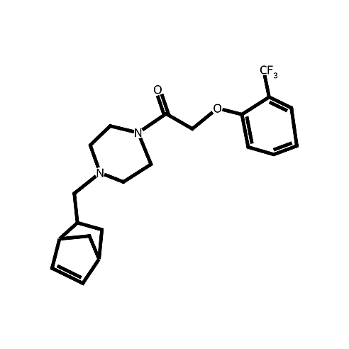 O=C(COc1ccccc1C(F)(F)F)N1CCN(CC2CC3C=CC2C3)CC1